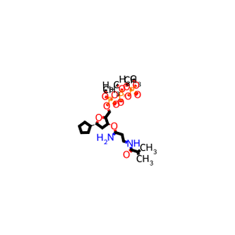 COP(=O)(OC)OP(=O)(OC)OP(=O)(OC)OCC1O[C@@H](C2CCCC2)C[C@H]1OC(N)CCNC(=O)C(C)C